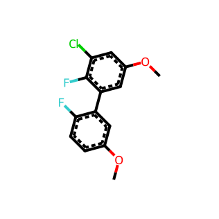 COc1ccc(F)c(-c2cc(OC)cc(Cl)c2F)c1